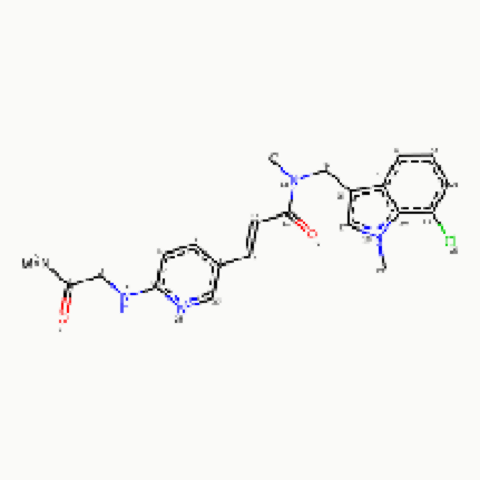 CNC(=O)CNc1ccc(C=CC(=O)N(C)Cc2cn(C)c3c(Cl)cccc23)cn1